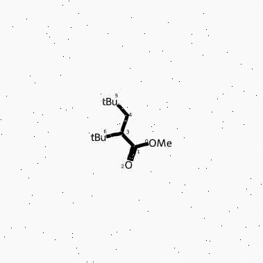 COC(=O)C(CC(C)(C)C)C(C)(C)C